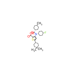 CC1(C)CCC(c2cc(N(C(=O)[C@H]3CC[C@H](C)CC3)[C@H]3CC[C@H](F)CC3)c(C(=O)O)s2)CC1